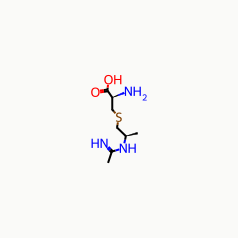 CC(=N)N[C@H](C)CSC[C@H](N)C(=O)O